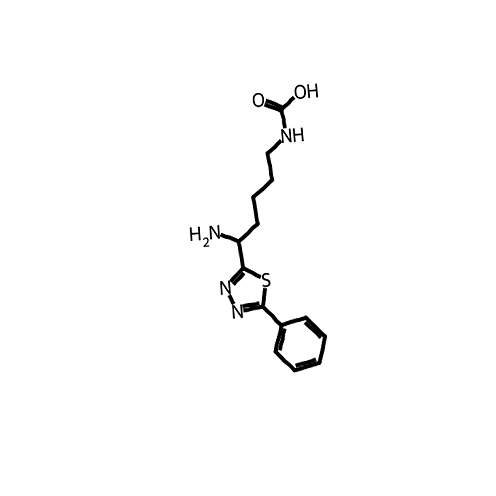 NC(CCCCNC(=O)O)c1nnc(-c2ccccc2)s1